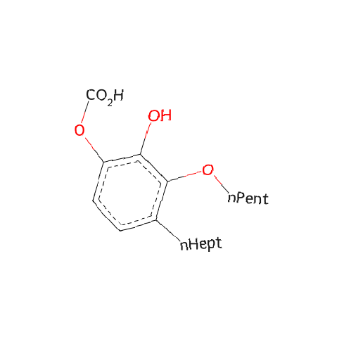 CCCCCCCc1ccc(OC(=O)O)c(O)c1OCCCCC